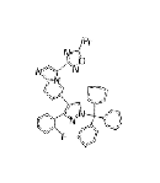 CC(C)c1nc(-c2cnc3ccc(-c4cn(C(c5ccccc5)(c5ccccc5)c5ccccc5)nc4-c4ccccc4F)cn23)no1